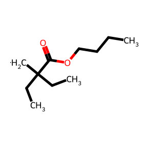 [CH2]C(CC)(CC)C(=O)OCCCC